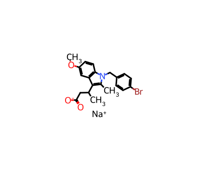 COc1ccc2c(c1)c(C(C)CC(=O)[O-])c(C)n2Cc1ccc(Br)cc1.[Na+]